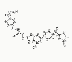 O=C(O)Nc1ccc(CNC(=O)C=CC2Cc3cc(-c4ccc(C(=O)N5CC[C@@H](F)C5)cc4)cc(Cl)c3O2)cn1